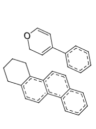 C1=CC(c2ccccc2)=CCO1.c1ccc2c(c1)ccc1c3c(ccc12)CCCC3